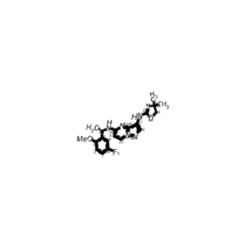 COc1ccc(F)cc1[C@@H](C)Nc1ccn2ncc(NC3=NC(C)(C)CO3)c2n1